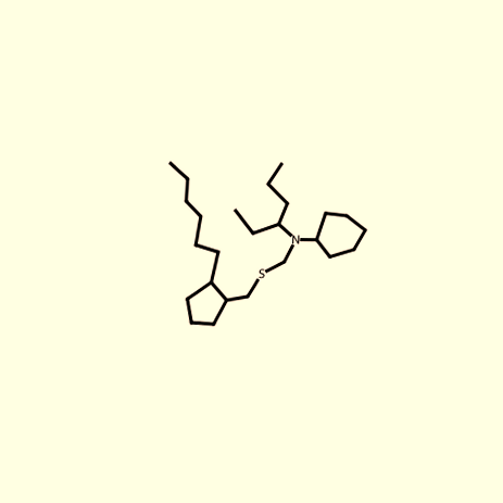 CCCCCCC1CCCC1CSCN(C(CC)CCC)C1CCCCC1